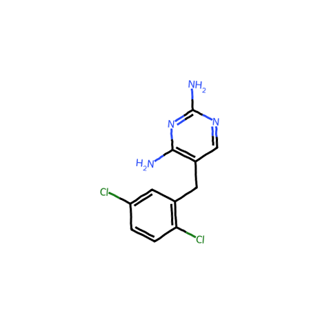 Nc1ncc(Cc2cc(Cl)ccc2Cl)c(N)n1